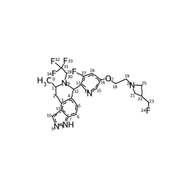 CC1Cc2c(ccc3[nH]ncc23)C(c2ncc(OCCN3CC(CF)C3)cc2F)N1CC(F)(F)F